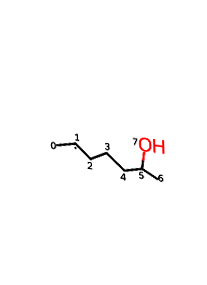 C[CH]CCCC(C)O